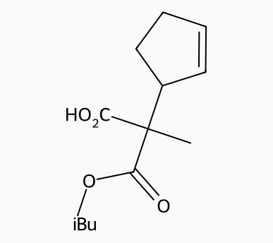 CCC(C)OC(=O)C(C)(C(=O)O)C1C=CCC1